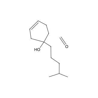 C=O.CC(C)CCCC1(O)CC=CCC1